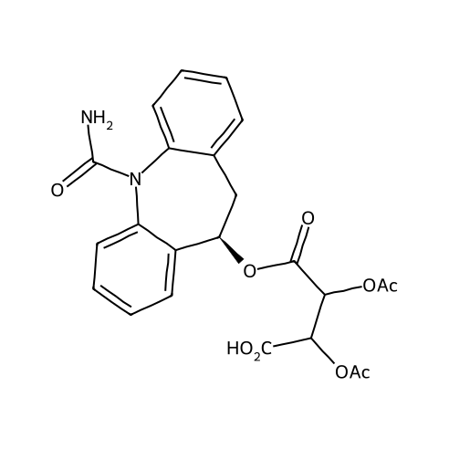 CC(=O)OC(C(=O)O)C(OC(C)=O)C(=O)O[C@@H]1Cc2ccccc2N(C(N)=O)c2ccccc21